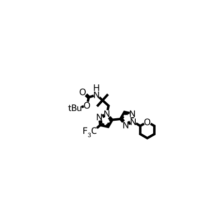 CC(C)(Cn1nc(C(F)(F)F)cc1-c1cnn(C2CCCCO2)n1)NC(=O)OC(C)(C)C